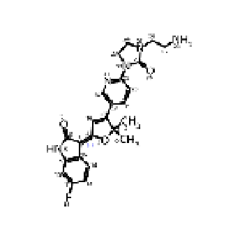 CC1(C)O/C(=C2/C(=O)Nc3cc(F)ccc32)C=C1c1ccc(N2CCN(CCN)C2=O)nc1